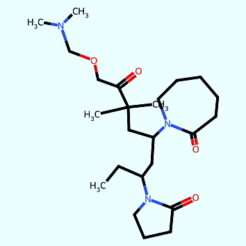 CCC(CC(CC(C)(C)C(=O)COCN(C)C)N1CCCCCC1=O)N1CCCC1=O